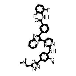 COc1cc(-c2nnc(CN(C)C)o2)ccc1Nc1nccc(-c2c(-c3cccc(C(=O)Nc4c(F)cccc4F)c3)nc3ccccn23)n1